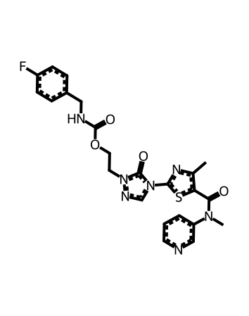 Cc1nc(-n2cnn(CCOC(=O)NCc3ccc(F)cc3)c2=O)sc1C(=O)N(C)c1cccnc1